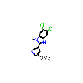 COc1cncc(-c2nc3cc(Cl)c(Cl)cc3n2C)c1